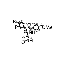 COCc1ccc(C(NC(=O)[C@H]2CNC(=O)C2)C(=O)Nc2ccc(C(C)(C)C)c(F)c2)cc1